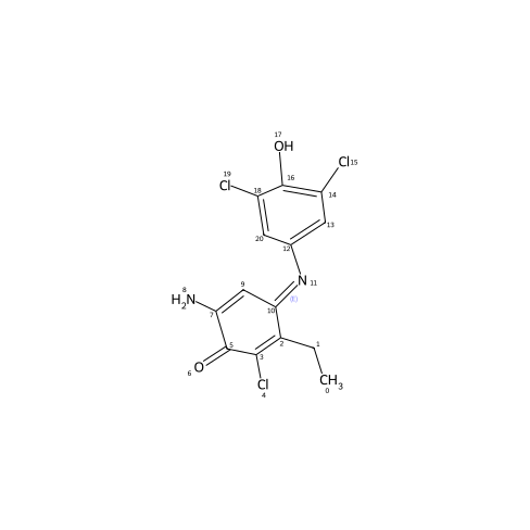 CCC1=C(Cl)C(=O)C(N)=C/C1=N\c1cc(Cl)c(O)c(Cl)c1